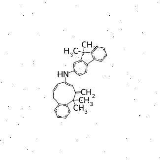 C=C1/C=C(Nc2ccc3c(c2)C(C)(C)c2ccccc2-3)\C=C/Cc2ccccc2C1(C)C